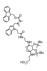 CN(Cc1cc2ccccc2n1CCC(=O)NCCNC(=O)C(O[Si](C)(C)C(C)(C)C)C(O[Si](C)(C)C(C)(C)C)C(=O)NCCC(=O)O)N(C)C(=O)OCC1c2ccccc2-c2ccccc21